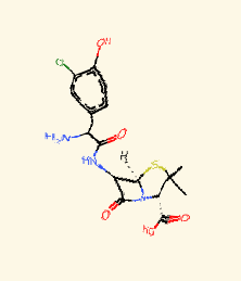 CC1(C)S[C@@H]2[C@H](NC(=O)C(N)c3ccc(O)c(Cl)c3)C(=O)N2[C@H]1C(=O)O